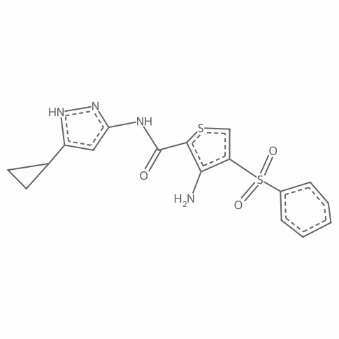 Nc1c(S(=O)(=O)c2ccccc2)csc1C(=O)Nc1cc(C2CC2)[nH]n1